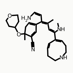 CNC(=C\C(C)=C(\C=C/N)C1=CCC(C)(OC2CCOCC2)C(C#N)=C1)/C1=C/CCNCC/C=C\1